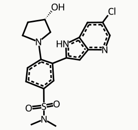 CN(C)S(=O)(=O)c1ccc(N2CC[C@H](O)C2)c(-c2cc3ncc(Cl)cc3[nH]2)c1